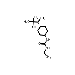 CCNC(=O)N[C@H]1CC[C@H](C(C)C(C)(C)C)CC1